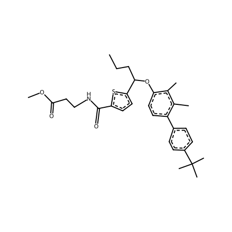 CCCC(Oc1ccc(-c2ccc(C(C)(C)C)cc2)c(C)c1C)c1ccc(C(=O)NCCC(=O)OC)s1